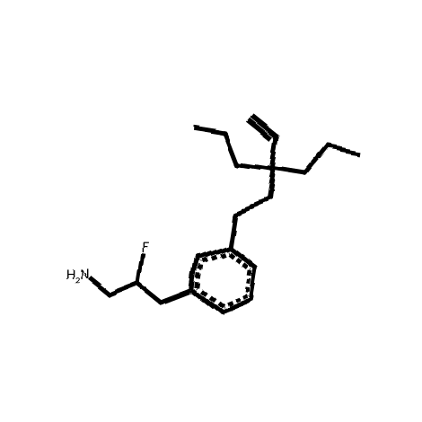 C=CC(CCC)(CCC)CCc1cccc(CC(F)CN)c1